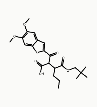 CCCC(C(=O)OCC(C)(C)C)C(C(=O)O)C(=O)c1cc2cc(OC)c(OC)cc2s1